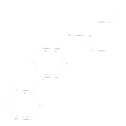 O=CC[C@@H](Cc1ccc(-c2ccccc2)cc1)NCl